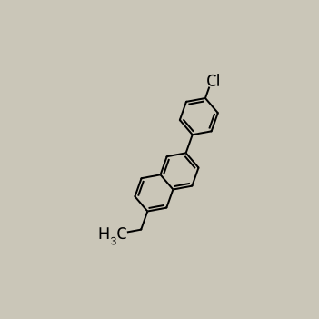 CCc1ccc2cc(-c3ccc(Cl)cc3)ccc2c1